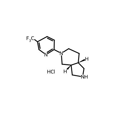 Cl.FC(F)(F)c1ccc(N2CC[C@@H]3CNC[C@@H]3C2)nc1